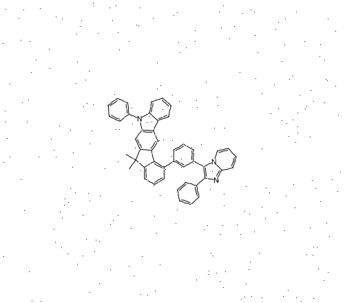 CC1(C)c2cc3c(cc2-c2c(-c4cccc(-c5c(-c6ccccc6)nc6ccccn56)c4)cccc21)c1ccccc1n3-c1ccccc1